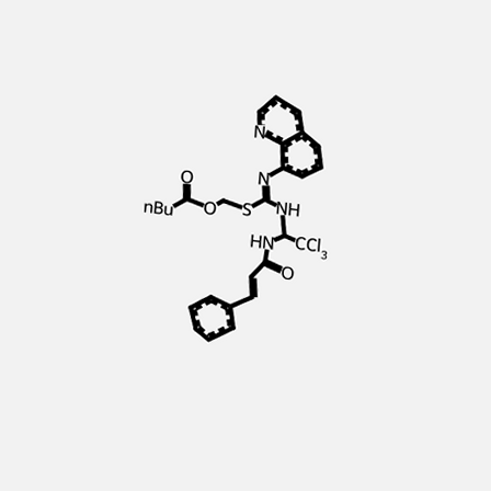 CCCCC(=O)OCS/C(=N/c1cccc2cccnc12)NC(NC(=O)/C=C/c1ccccc1)C(Cl)(Cl)Cl